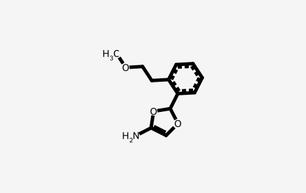 COCCc1ccccc1C1OC=C(N)O1